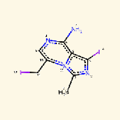 Bc1nc(I)c2c(N)ncc(CI)n12